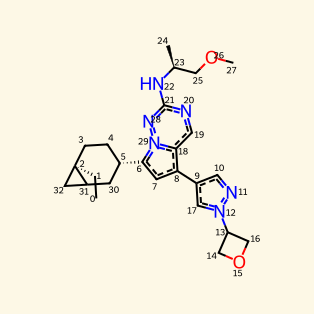 CC[C@]12CC[C@H](c3cc(-c4cnn(C5COC5)c4)c4cnc(N[C@@H](C)COC)nn34)CC1C2